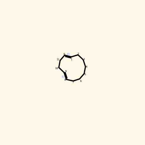 C1=C/CCCCCC/C=C/CC/1